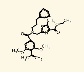 C=C(C)c1c(OC)cc(C(=O)N(CCCc2ccccc2)Cc2nc(C(=O)OCC)c(C)s2)cc1OC